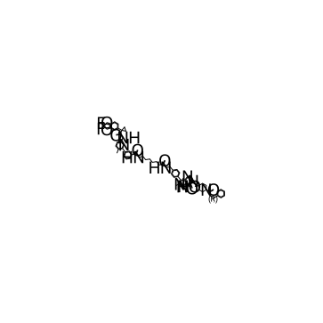 Cc1ccc(NC(=O)C2(c3ccc4c(c3)OC(F)(F)O4)CC2)nc1-c1cccc(C(=O)NCCCCCCC(=O)NCc2ccc(-c3c4ncn(CC5(O)CCN(C(=O)C[C@@H](C)c6ccccc6)CC5)c(=O)c4nn3C)cc2)c1